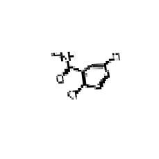 CNC(=O)c1cc(Cl)ccc1Cl